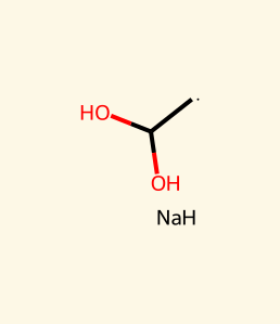 [CH2]C(O)O.[NaH]